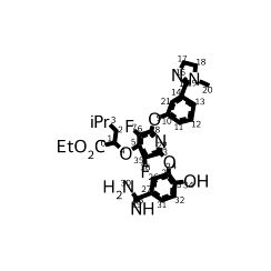 CCOC(=O)C(CC(C)C)Oc1c(F)c(Oc2cccc(C3=NCCN3C)c2)nc(Oc2cc(C(=N)N)ccc2O)c1F